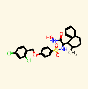 CC1CCCc2ccccc2C1C(NS(=O)(=O)c1ccc(OCc2ccc(Cl)cc2Cl)cc1)C(=O)NO